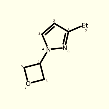 CCc1ccn(C2COC2)n1